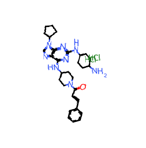 Cl.Cl.NC1CCC(Nc2nc(NC3CCN(C(=O)C=Cc4ccccc4)CC3)c3ncn(C4CCCC4)c3n2)CC1